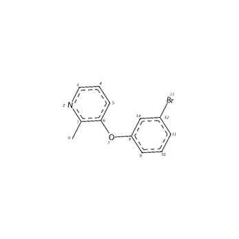 Cc1ncccc1Oc1cc[c]c(Br)c1